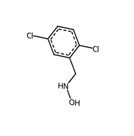 ONCc1cc(Cl)ccc1Cl